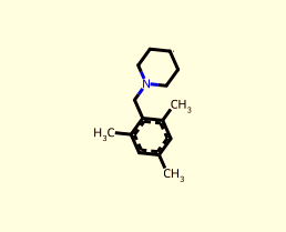 Cc1cc(C)c(CN2CC[CH]CC2)c(C)c1